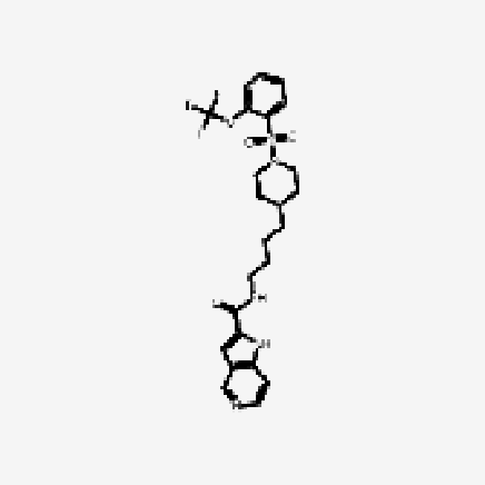 O=C(NCCCCC1CCN(S(=O)(=O)c2ccccc2OC(F)(F)F)CC1)c1cc2cnccc2[nH]1